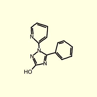 Oc1nc(-c2ccccc2)n(-c2ccccn2)n1